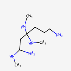 CNC(N)CC(CCCN)(NC)NC